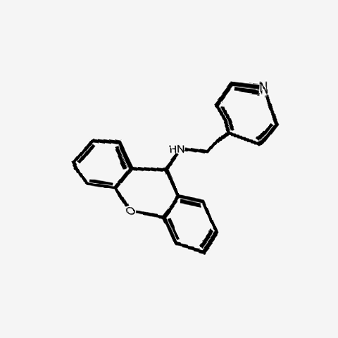 c1ccc2c(c1)Oc1ccccc1C2NCc1ccncc1